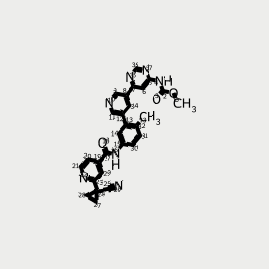 COC(=O)Nc1cc(-c2cncc(-c3cc(NC(=O)c4ccnc(C5(C#N)CC5)c4)ccc3C)c2)ncn1